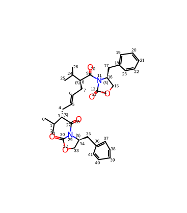 CC(C)[C@H](CC=CC[C@H](C(=O)N1C(=O)OC[C@@H]1Cc1ccccc1)C(C)C)C(=O)N1C(=O)OC[C@@H]1Cc1ccccc1